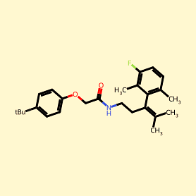 CC(C)=C(CCNC(=O)COc1ccc(C(C)(C)C)cc1)c1c(C)ccc(F)c1C